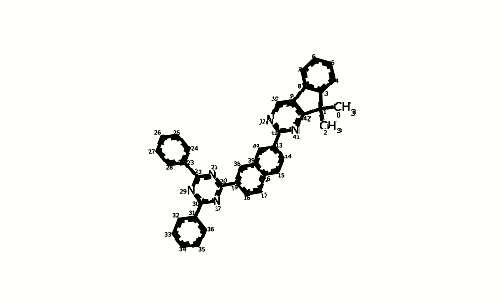 CC1(C)c2ccccc2-c2cnc(-c3ccc4ccc(-c5nc(-c6ccccc6)nc(-c6ccccc6)n5)cc4c3)nc21